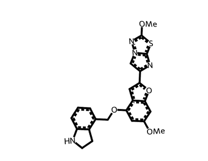 COc1cc(OCc2cccc3c2CCN3)c2cc(-c3cn4nc(OC)sc4n3)oc2c1